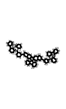 c1ccc(N(c2cccc(-c3ccc4cc5c(cc4c3)C3(c4ccccc4-c4ccccc43)c3cc4cc(-c6cccc(N(c7ccccc7)c7cccc8c7oc7ccccc78)c6)ccc4cc3-5)c2)c2cccc3c2oc2ccccc23)cc1